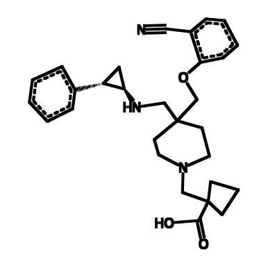 N#Cc1ccccc1OCC1(CN[C@@H]2C[C@H]2c2ccccc2)CCN(CC2(C(=O)O)CCC2)CC1